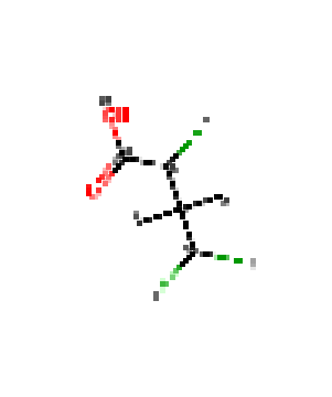 CC(C)(C(F)F)C(F)C(=O)O